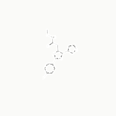 CONC(=O)Cc1nc(-c2ccc(F)cc2)oc1-c1ccsc1